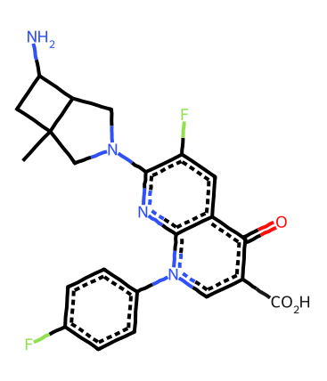 CC12CC(N)C1CN(c1nc3c(cc1F)c(=O)c(C(=O)O)cn3-c1ccc(F)cc1)C2